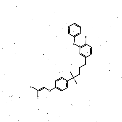 CC(C)(CCCc1ccc(F)c(Oc2ccccc2)c1)c1ccc(OC=C(Cl)Cl)cc1